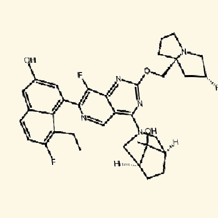 CCc1c(F)ccc2cc(O)cc(-c3ncc4c(N5C[C@H]6CC[C@@H](C5)C6(C)O)nc(OC[C@@]56CCCN5C[C@H](F)C6)nc4c3F)c12